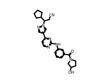 N#CCC(C1CCCC1)n1cc(-c2ccnc(Nc3cccc(C(=O)N4CCC(O)C4)c3)n2)cn1